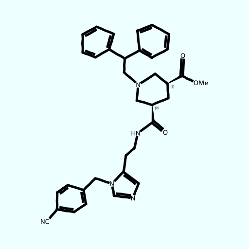 COC(=O)[C@H]1C[C@@H](C(=O)NCCc2cncn2Cc2ccc(C#N)cc2)CN(CC(c2ccccc2)c2ccccc2)C1